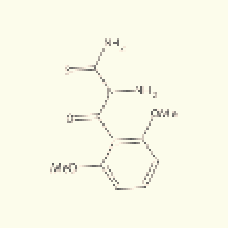 COc1cccc(OC)c1C(=O)N(N)C(N)=S